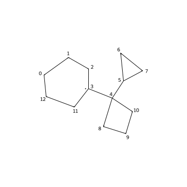 C1CC[C](C2(C3CC3)CCC2)CC1